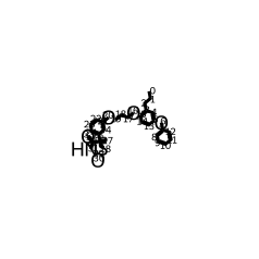 CCCc1cc(Oc2ccccc2)ccc1OCCCOc1cccc(C2(C)SC(=O)NC2=O)c1